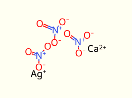 O=[N+]([O-])[O-].O=[N+]([O-])[O-].O=[N+]([O-])[O-].[Ag+].[Ca+2]